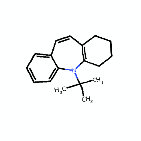 CC(C)(C)N1C2=C(C=Cc3ccccc31)CCCC2